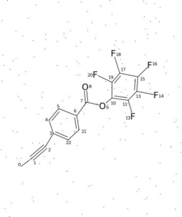 CC#Cc1ccc(C(=O)Oc2c(F)c(F)c(F)c(F)c2F)cc1